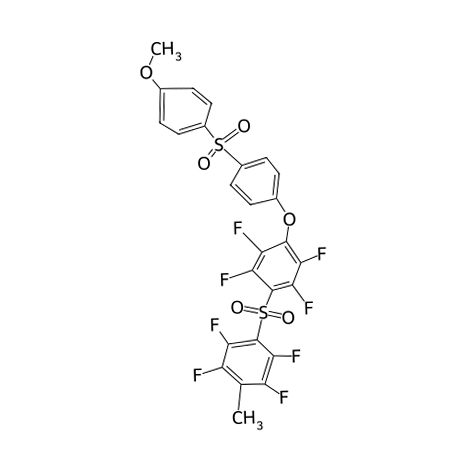 COc1ccc(S(=O)(=O)c2ccc(Oc3c(F)c(F)c(S(=O)(=O)c4c(F)c(F)c(C)c(F)c4F)c(F)c3F)cc2)cc1